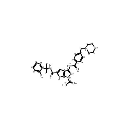 CC(C)(NC(=O)c1cc2c(NC(=O)c3ccc(CN4CCOCC4)cc3)nn(C(=O)O)c2s1)c1ccccc1F